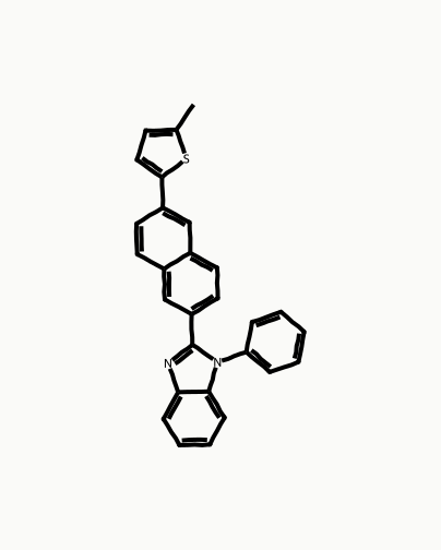 Cc1ccc(-c2ccc3cc(-c4nc5ccccc5n4-c4ccccc4)ccc3c2)s1